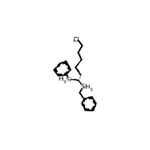 ClCCCCC[C@H]([SiH2]Cc1ccccc1)[SiH2]c1ccccc1